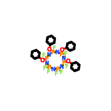 FP1(F)=NP(F)(F)=NP(F)(Oc2ccccc2)=NP(F)(Oc2ccccc2)=NP(F)(Oc2ccccc2)=NP(F)(Oc2ccccc2)=N1